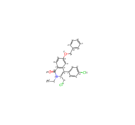 CC(C)Cn1c(CCl)c(-c2ccc(Cl)cc2)c2cc(OCc3ccccc3)ccc2c1=O